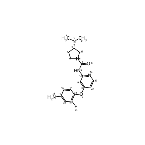 CN(C)[C@H]1CCN(C(=O)Nc2cc(Oc3ccc(N)cc3F)ccn2)C1